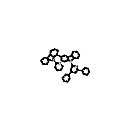 c1ccc(-c2cc(-c3ccccc3)nc(-n3c4ccccc4c4cc(-c5cccc6c7ccccc7n(-c7ccccn7)c56)ccc43)c2)cc1